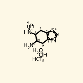 CCCNC1Cc2scnc2CC1N.Cl.Cl.O